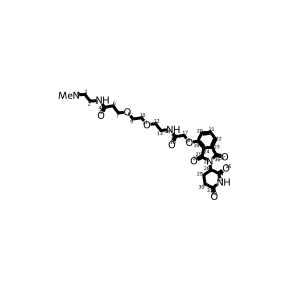 CNCCNC(=O)CCOCCOCCNC(=O)COc1cccc2c1C(=O)N(C1CCC(=O)NC1=O)C2=O